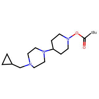 CC(C)(C)C(=O)ON1CCC(N2CCN(CC3CC3)CC2)CC1